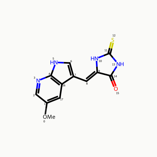 COc1cnc2[nH]cc(C=C3NC(=S)NC3=O)c2c1